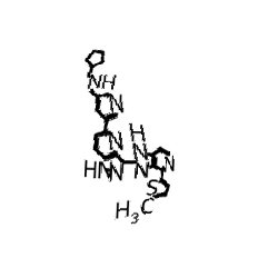 Cc1ccc(-c2nccc3[nH]c(-c4n[nH]c5ccc(-c6cncc(CNCC7CCCC7)c6)nc45)nc23)s1